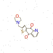 O=C1c2cc(CN3CCOCC3)sc2C(=O)c2cccnc21